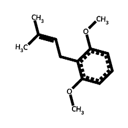 COc1cccc(OC)c1CC=C(C)C